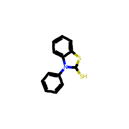 SC1Sc2ccccc2N1c1ccccc1